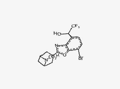 O=C(O)N1C2CC1CN(c1nc3c(C(O)C(F)(F)F)ccc(Br)c3o1)C2